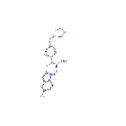 COC(=O)C(Cc1cc2cc(C#N)ccc2[nH]1)c1ccc(O[C@H]2CCOC2)cc1